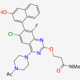 CNC(=O)CCOc1nc(N2CCN(C(C)=O)CC2)c2cc(Cl)c(-c3cc(O)cc4ccccc34)c(F)c2n1